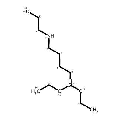 CCO[SiH](CCCCNCCO)OCC